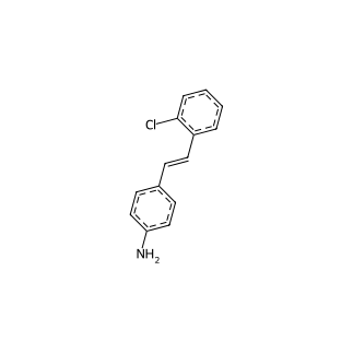 Nc1ccc(C=Cc2ccccc2Cl)cc1